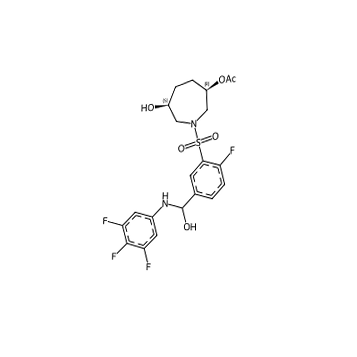 CC(=O)O[C@@H]1CC[C@H](O)CN(S(=O)(=O)c2cc(C(O)Nc3cc(F)c(F)c(F)c3)ccc2F)C1